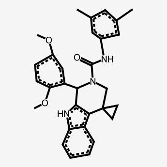 COc1ccc(OC)c(C2c3[nH]c4ccccc4c3C3(CC3)CN2C(=O)Nc2cc(C)cc(C)c2)c1